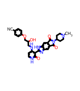 CN1CCC(N2C(=O)c3cc4nc(-c5c(NCC(O)COc6ccc(C#N)cc6)cc[nH]c5=O)[nH]c4cc3C2=O)CC1